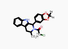 [2H]C1([2H])Oc2ccc(C3c4[nH]c5ccccc5c4CC(C(=O)O)N3C(=O)[13CH2]Cl)cc2O1